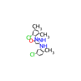 Cc1cc(C)c(-n2[nH]c(Nc3cc(Cl)ccc3C)cc2=O)c(Cl)c1